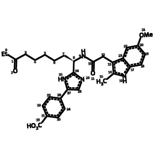 CCC(=O)CCCCC[C@H](NC(=O)Cc1c(C)[nH]c2ccc(OC)cc12)c1ncc(-c2ccc(C(=O)O)cc2)[nH]1